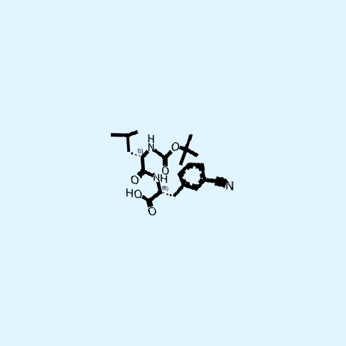 CC(C)C[C@H](NC(=O)OC(C)(C)C)C(=O)N[C@H](Cc1cccc(C#N)c1)C(=O)O